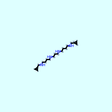 C(CCNCC1CC1)CNCCCNCCCCNCC1CC1